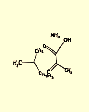 C=C(C)C(=O)O.CC(C)C.N